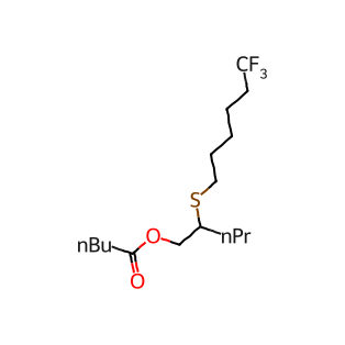 CCCCC(=O)OCC(CCC)SCCCCCC(F)(F)F